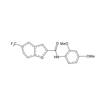 COc1ccc(NC(=O)c2cc3cc(C(F)(F)F)ccc3o2)c(OC)c1